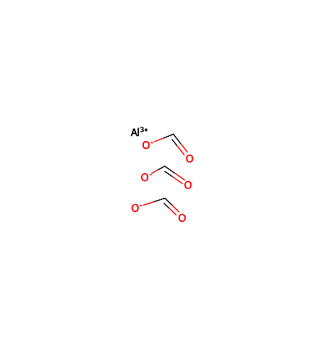 O=C[O-].O=C[O-].O=C[O-].[Al+3]